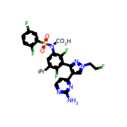 CC(C)c1cc(N(C(=O)O)S(=O)(=O)c2cc(F)ccc2F)c(F)c(-c2nn(CCF)cc2-c2ccnc(N)n2)c1F